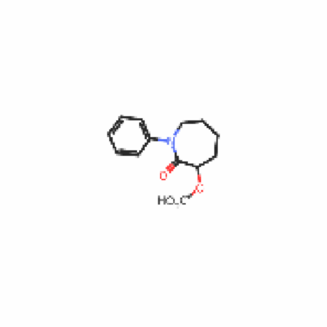 O=C(O)OC1CCCCN(c2ccccc2)C1=O